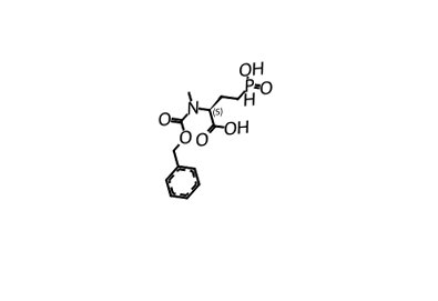 CN(C(=O)OCc1ccccc1)[C@@H](CC[PH](=O)O)C(=O)O